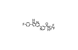 O=C(NCC(F)(F)F)c1ccnc(-c2cnc3[nH]c(-c4ccc(F)cc4)cc3c2)c1